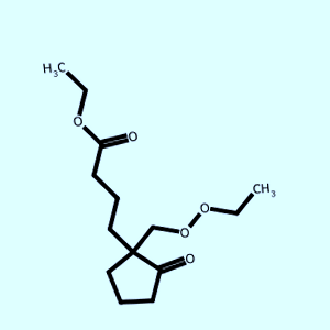 CCOOCC1(CCCC(=O)OCC)CCCC1=O